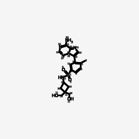 Cc1ccc(S(=O)(=O)NC2CC(CO)(CO)C2)cc1-c1cnc2c(N)ncnn12